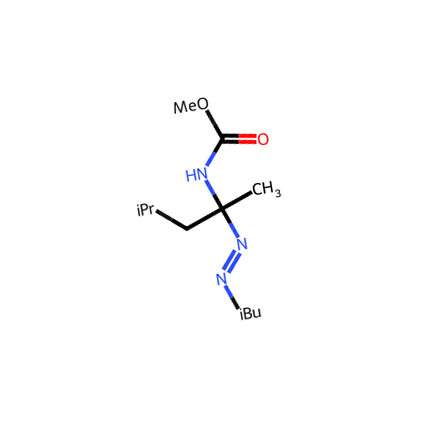 CCC(C)/N=N/C(C)(CC(C)C)NC(=O)OC